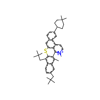 Cc1c2c(c(CC(C)(C)C)c3ccc(CC(C)(C)C)cc13)Sc1cc3ccc(C4CCC(C)(C)CC4)cc3c3cc[n+](C)c-2c13